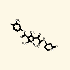 Cc1cc(NC(=O)c2c(C)c(C(=O)C(=O)NC3CCNC(=O)C3)n(C)c2C)ccc1F